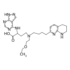 CCOCCN(CCCCc1ccc2c(n1)NCCC2)CCC(Nc1ncnc2[nH]ncc12)C(=O)O